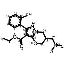 CCOC(=O)c1c(-c2ccccc2F)nn2c1OCC(CN(C)C)C2